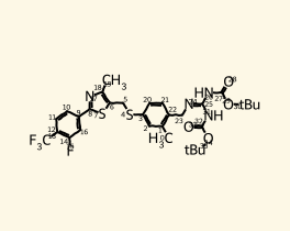 Cc1cc(SCc2sc(-c3ccc(C(F)(F)F)c(F)c3)nc2C)ccc1CN=C(NC(=O)OC(C)(C)C)NC(=O)OC(C)(C)C